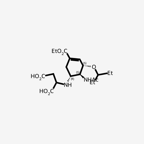 CCOC(=O)C1=C[C@H](OC(CC)CC)[C@@H](NC(C)=O)[C@H](NC(CC(=O)O)C(=O)O)C1